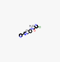 Cc1ncc(Cl)cc1C(=O)N[C@H]1CC[C@H](Cn2nc(-c3cccnc3)cc2C)CC1